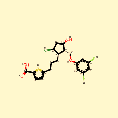 O=C(O)c1ccc(CCC[C@H]2C(Cl)CC(O)[C@@H]2COc2cc(F)cc(F)c2)s1